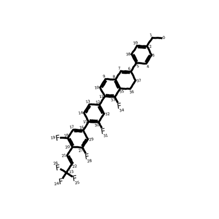 CCc1ccc(C2=Cc3ccc(-c4ccc(-c5cc(F)c(/C=C/C(F)(F)F)c(F)c5)c(F)c4)c(F)c3CC2)cc1